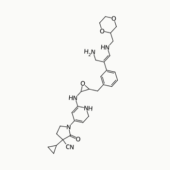 N#CC1(C2CC2)CCN(C2=CCNC(NC3OC3Cc3cccc(/C(=C/NCC4COCCO4)CN)c3)=C2)C1=O